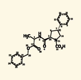 CC(NC(=O)[C@H]1C[C@H](c2ccccc2)CN1C(=O)O)C(=O)OCc1ccccc1